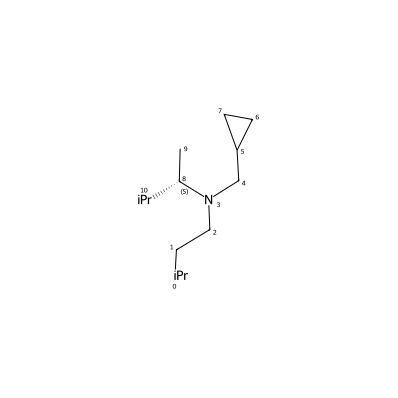 CC(C)CCN(CC1CC1)[C@@H](C)C(C)C